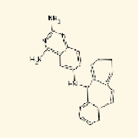 Nc1nc(N)c2cc(NC3c4ccccc4C=Cc4ccccc43)ccc2n1